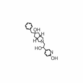 Oc1ccc(C(O)CN2C[C@@H]3CC(O)(Cc4ccccc4)C[C@@H]3C2)cn1